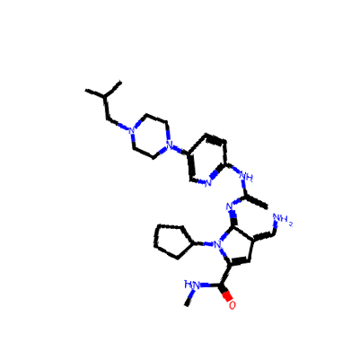 C=C(/N=C1\C(=C/N)C=C(C(=O)NC)N1C1CCCC1)Nc1ccc(N2CCN(CC(C)C)CC2)cn1